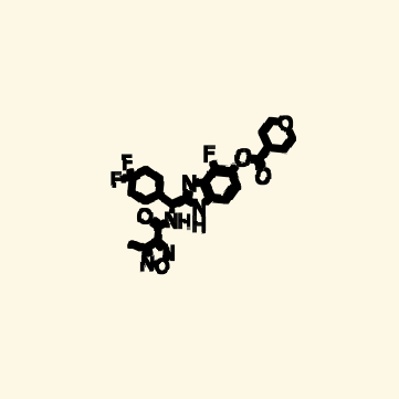 Cc1nonc1C(=O)N[C@H](c1nc2c(F)c(OC(=O)C3CCOCC3)ccc2[nH]1)C1CCC(F)(F)CC1